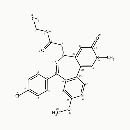 CCNC(=O)C[C@H]1N=C(c2ccc(Cl)cc2)c2cc(OC)ncc2-c2cn(C)c(=O)cc21